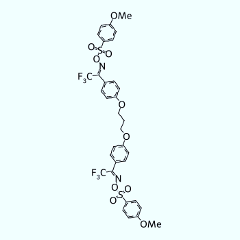 COc1ccc(S(=O)(=O)O/N=C(/c2ccc(OCCCOc3ccc(/C(=N/OS(=O)(=O)c4ccc(OC)cc4)C(F)(F)F)cc3)cc2)C(F)(F)F)cc1